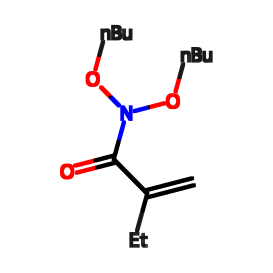 C=C(CC)C(=O)N(OCCCC)OCCCC